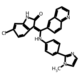 Cn1ccnc1-c1ccc(NC(=C2C(=O)Nc3cc(Cl)ccc32)c2ccc3ncccc3c2)cc1